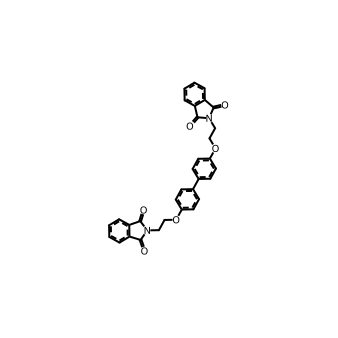 O=C1c2ccccc2C(=O)N1CCOc1ccc(-c2ccc(OCCN3C(=O)c4ccccc4C3=O)cc2)cc1